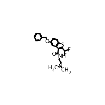 CN(C)CCNC(=O)c1c(C(F)F)sc2ccc(OCc3ccccc3)cc12